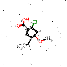 CCc1cc(C(=O)O)c(Cl)cc1OC